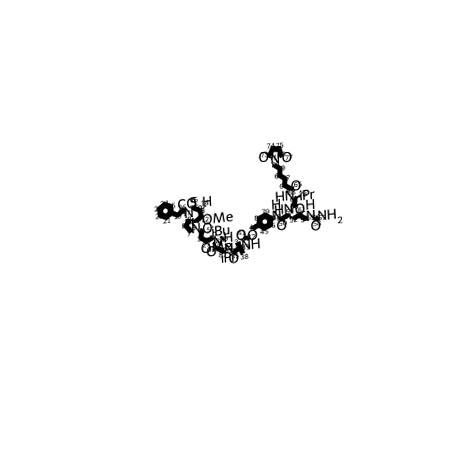 CC[C@H](C)[C@@H]([C@@H](CC(=O)N1CCC[C@H]1[C@H](OC)[C@@H](C)C(=S)N[C@@H](Cc1ccccc1)C(=O)O)OC)N(C)C(=O)[C@@H](NC(=O)C(C)(C)NC(=O)OCc1ccc(NC(=O)[C@H](CCCNC(N)=O)NC(=O)[C@@H](NC(=O)CCCCCN2C(=O)C=CC2=O)C(C)C)cc1)C(C)C